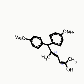 COc1ccc(C(/C(C)=C/C=C(\C)O)c2ccc(OC)cc2)cc1